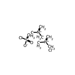 C=[N+](C)C.C=[N+](C)C.O=S(=O)([O-])Cl.[Cl-]